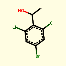 [CH2]C(O)c1c(Cl)cc(Br)cc1Cl